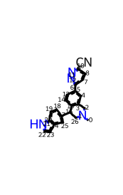 CN1Cc2cc(-c3ccc(C#N)nn3)ccc2C(c2ccc3[nH]ccc3c2)C1